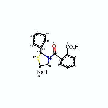 O=C(O)c1ccccc1C(=O)N1CCSC1c1ccccc1.[NaH]